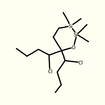 CCCC(Cl)C1(C(Cl)CCC)CC[Si](C)(C)[Si](C)(C)O1